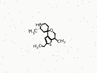 CCc1cc2c(s1)C(C)COC21CCN[C@@H](C)C1